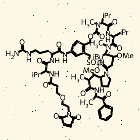 CCC(C)C(C(CC(=O)N1CCCC1C(OC)C(C)C(=O)NC(C)C(=O)c1ccccc1)OC)N(C)C(=O)C(NC(=O)C(C(C)C)N(C)C(=O)OCc1ccc(NC(=O)[C@H](CCCNC(N)=O)NC(=O)C(NC(=O)CCOCCN2C(=O)C=CC2=O)C(C)C)cc1CS(=O)(=O)O)C(C)C